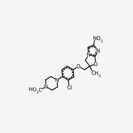 CC1(COc2ccc(N3CCN(C(=O)O)CC3)c(Cl)c2)Cn2cc([N+](=O)[O-])nc2O1